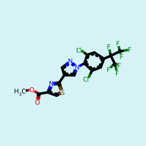 COC(=O)c1csc(-c2cnn(-c3c(Cl)cc(C(F)(C(F)(F)F)C(F)(F)F)cc3Cl)c2)n1